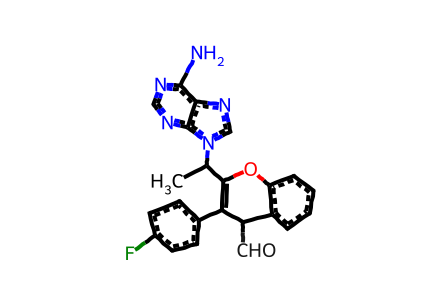 CC(C1=C(c2ccc(F)cc2)C(C=O)c2ccccc2O1)n1cnc2c(N)ncnc21